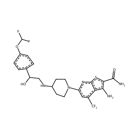 NC(=O)c1sc2nc(N3CCC(NCC(O)c4ccc(OC(F)F)cc4)CC3)cc(C(F)(F)F)c2c1N